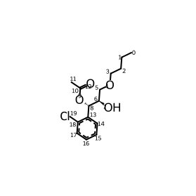 CCCCOC[C@@H](O)[C@@H](OC(C)=O)c1ccccc1Cl